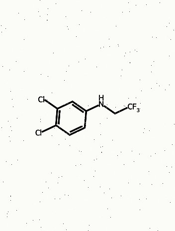 FC(F)(F)CNc1ccc(Cl)c(Cl)c1